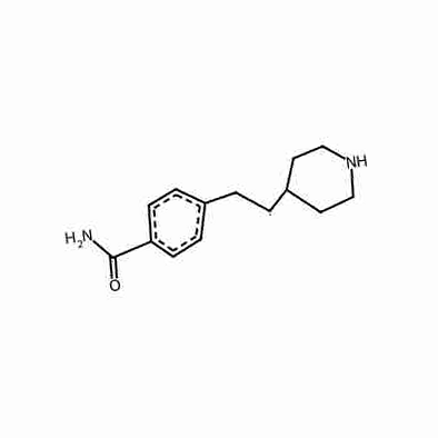 NC(=O)c1ccc(C[CH]C2CCNCC2)cc1